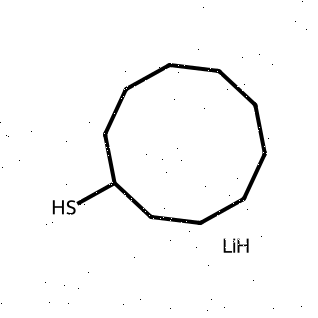 SC1CCCCCCCCC1.[LiH]